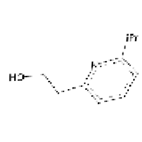 CC(C)c1cccc(CCO)n1